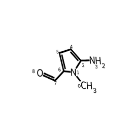 Cn1c(N)ccc1C=O